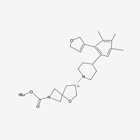 Cc1cc(C2CCN([C@@H]3COC4(C3)CN(C(=O)OC(C)(C)C)C4)CC2)c(C2=CCOC2)c(C)c1C